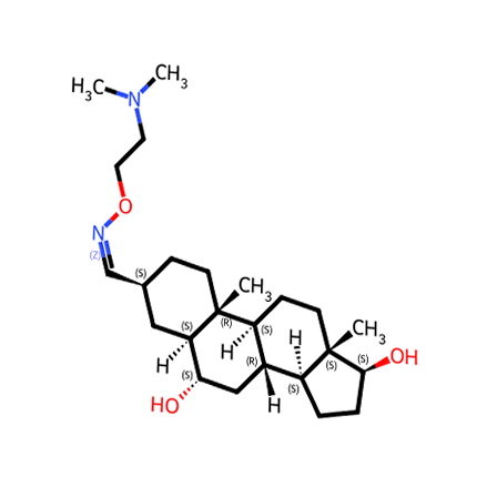 CN(C)CCO/N=C\[C@H]1CC[C@@]2(C)[C@H](C1)[C@@H](O)C[C@@H]1[C@@H]2CC[C@]2(C)[C@@H](O)CC[C@@H]12